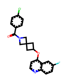 O=C(c1ccc(Cl)cc1)N1CC2(CC(Oc3ccnc4ccc(F)cc34)C2)C1